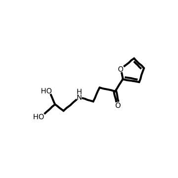 O=C(CCNCC(O)O)c1ccco1